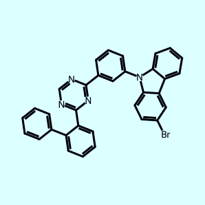 Brc1ccc2c(c1)c1ccccc1n2-c1cccc(-c2ncnc(-c3ccccc3-c3ccccc3)n2)c1